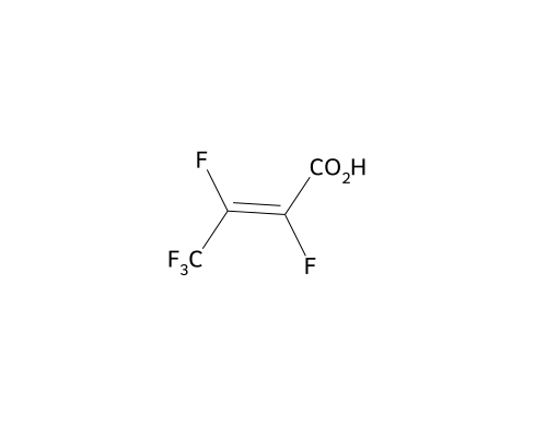 O=C(O)C(F)=C(F)C(F)(F)F